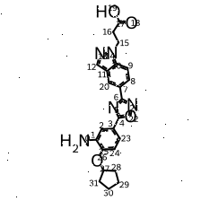 Nc1cc(-c2nc(-c3ccc4c(cnn4CCC(=O)O)c3)no2)ccc1OC1CCCC1